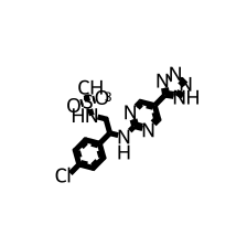 CS(=O)(=O)NCC(Nc1ncc(-c2nnn[nH]2)cn1)c1ccc(Cl)cc1